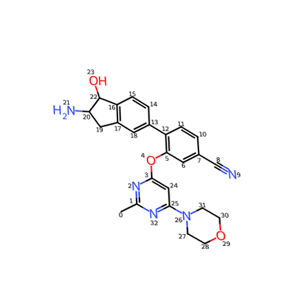 Cc1nc(Oc2cc(C#N)ccc2-c2ccc3c(c2)CC(N)C3O)cc(N2CCOCC2)n1